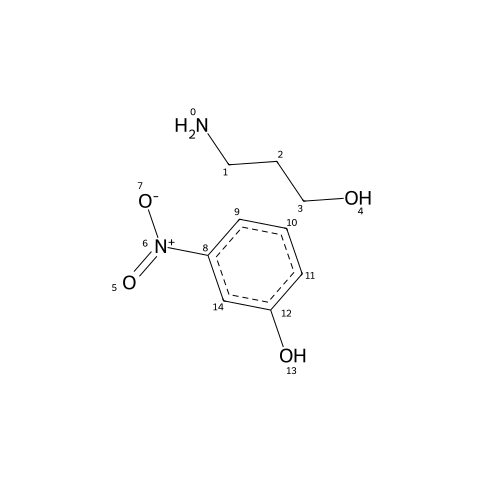 NCCCO.O=[N+]([O-])c1cccc(O)c1